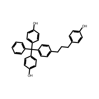 Oc1ccc(CCCc2ccc(C(c3ccccc3)(c3ccc(O)cc3)c3ccc(O)cc3)cc2)cc1